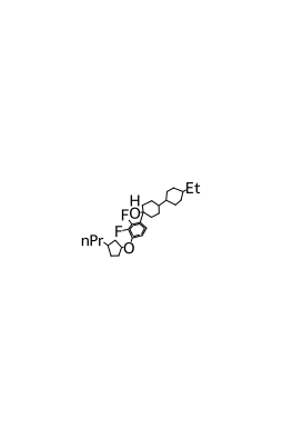 CCCC1CCC(Oc2ccc(C3(O)CCC(C4CCC(CC)CC4)CC3)c(F)c2F)C1